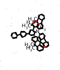 Cc1cccc(C)c1-c1cc(-c2ccc(-c3ccccc3)cc2)ccc1N(c1ccc2c(c1)C(C)(C)c1ccccc1-2)c1ccc2c(c1)C1(c3ccccc3-2)c2ccccc2C(C)(C)c2ccccc21